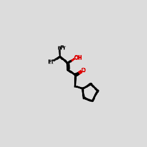 CCCC(CC)/C(O)=C/C(=O)CC1CCCC1